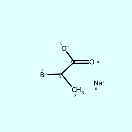 CC(Br)C(=O)[O-].[Na+]